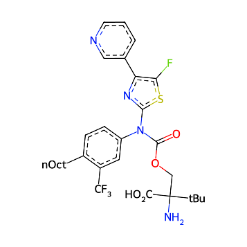 CCCCCCCCc1ccc(N(C(=O)OCC(N)(C(=O)O)C(C)(C)C)c2nc(-c3cccnc3)c(F)s2)cc1C(F)(F)F